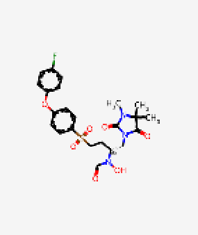 CN1C(=O)N(C[C@@H](CCS(=O)(=O)c2ccc(Oc3ccc(F)cc3)cc2)N(O)C=O)C(=O)C1(C)C